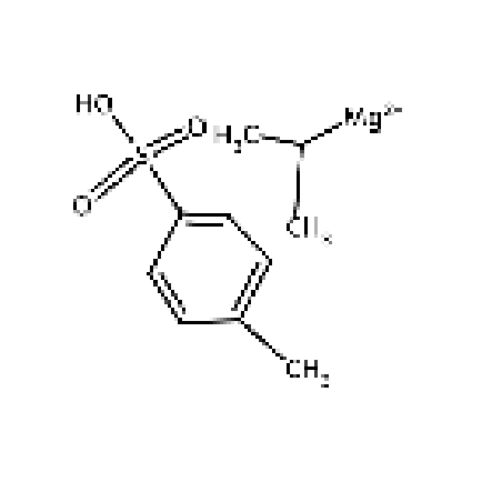 C[CH](C)[Mg+2].Cc1ccc(S(=O)(=O)O)cc1